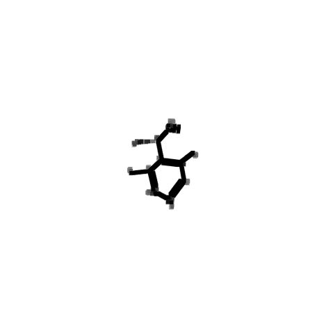 Cc1cnnc(C)c1[C@H](C)O